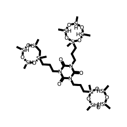 C[SiH]1C[Si](C)(CCCn2c(=O)n(CCC[Si]3(C)O[SiH](C)O[SiH](C)O[SiH](C)O3)c(=O)n(CCC[Si]3(C)O[SiH](C)O[SiH](C)O[SiH](C)O3)c2=O)O[SiH](C)O[SiH](C)O1